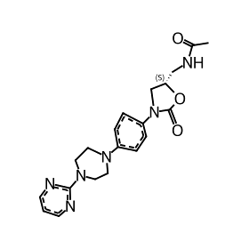 CC(=O)NC[C@H]1CN(c2ccc(N3CCN(c4ncccn4)CC3)cc2)C(=O)O1